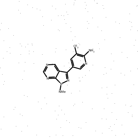 CNn1nc(-c2cnc(N)c(C(F)(F)F)c2)c2cncnc21